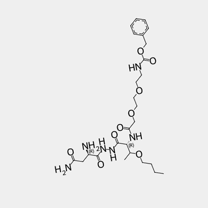 CCCCOC(C)[C@@H](NC(=O)COCCOCCNC(=O)OCc1ccccc1)C(=O)NNC(=O)[C@H](N)CC(N)=O